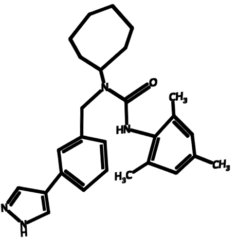 Cc1cc(C)c(NC(=O)N(Cc2cccc(-c3cn[nH]c3)c2)C2CCCCCC2)c(C)c1